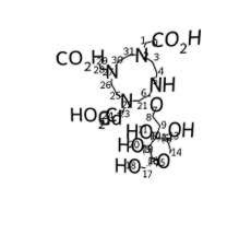 O=C(O)CN1CCNC(OCC[C@@]2(O)[C@@H](O)CO[C@H](CO)[C@@H]2O)CN(CC(=O)O)CCN(CC(=O)O)CC1.[Gd]